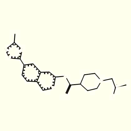 Cc1nnc(-c2ccc3cnc(NC(=O)C4CCN(C[C@@H](C)F)CC4)cc3c2)s1